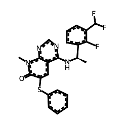 C[C@@H](Nc1ncnc2c1cc(Sc1ccccc1)c(=O)n2C)c1cccc(C(F)F)c1F